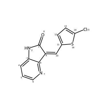 O=C1Nc2cccnc2C1=Cc1ccc(Cl)s1